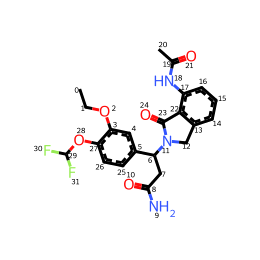 CCOc1cc(C(CC(N)=O)N2Cc3cccc(NC(C)=O)c3C2=O)ccc1OC(F)F